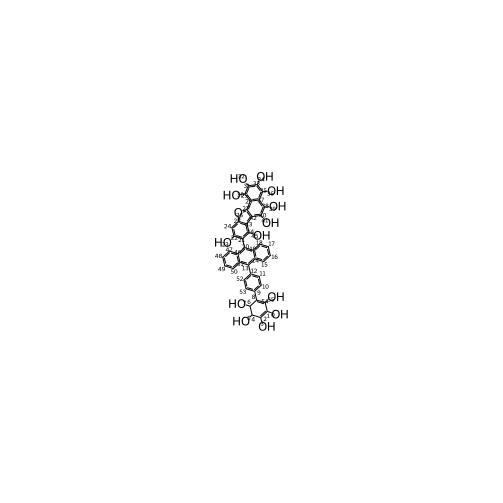 OC1=C(O)C(O)C(O)C(c2ccc(-c3c4ccccc4c(-c4c(O)cc5oc6c7c(O)c(O)c(O)c(O)c7c(O)c(O)c6c5c4O)c4ccccc34)cc2)=C1O